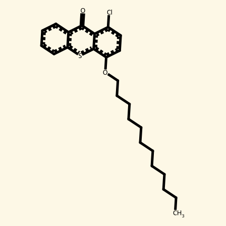 CCCCCCCCCCCCOc1ccc(Cl)c2c(=O)c3ccccc3sc12